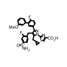 COc1cccc(-c2cc(-c3nn(-c4nc(C(=O)O)cs4)c(CC4CC4)c3Cc3ccc([S+](N)[O-])cc3F)ccc2F)c1